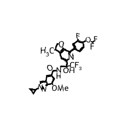 COc1cc(C(=O)NC[C@@](O)(c2cc3c(c(-c4ccc(OC(F)F)c(F)c4)n2)OC[C@H]3C)C(F)(F)F)cc2cn(C3CC3)nc12